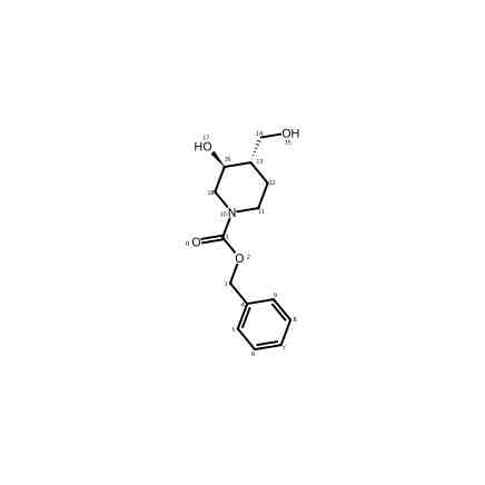 O=C(OCc1ccccc1)N1CC[C@@H](CO)[C@H](O)C1